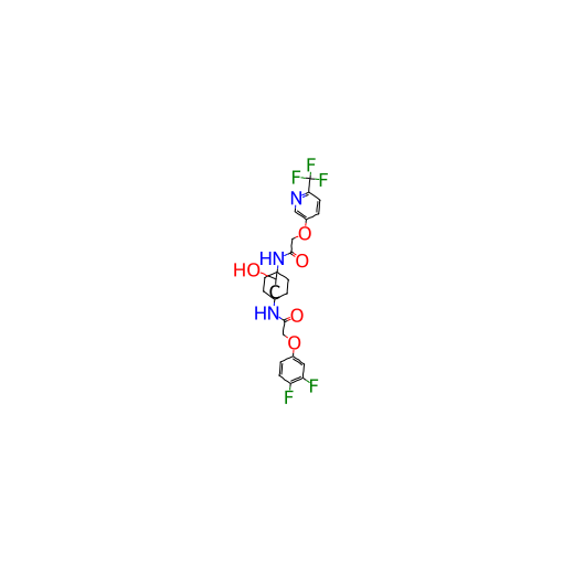 O=C(COc1ccc(F)c(F)c1)NC12CCC(NC(=O)COc3ccc(C(F)(F)F)nc3)(CC1)C(O)C2